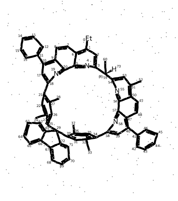 CCc1cc2nc3c1ccc1c(-c4ccccc4)cc(nc13)-c1cc(C)c(cc1C)C1(c3cc(C)c(cc3C)-c3cc(-c4ccccc4)c4ccc5c(C)cc(nc5c4n3)[C@H]2C)c2ccccc2-c2ccccc21